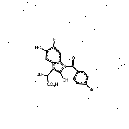 CC[C@H](C)C(C(=O)O)c1c(C)n(C(=O)c2ccc(Br)cc2)c2cc(F)c(O)cc12